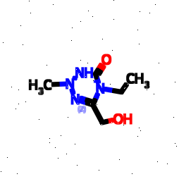 CCN(C=O)/C(CO)=N\N(C)N